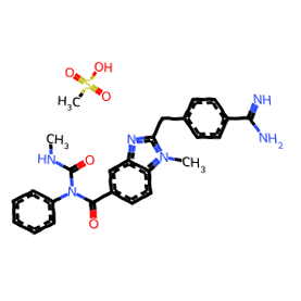 CNC(=O)N(C(=O)c1ccc2c(c1)nc(Cc1ccc(C(=N)N)cc1)n2C)c1ccccc1.CS(=O)(=O)O